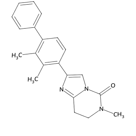 Cc1c(-c2ccccc2)ccc(-c2cn3c(n2)CCN(C)C3=O)c1C